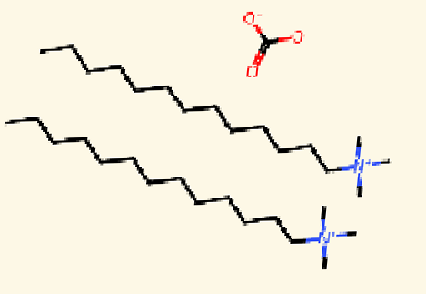 CCCCCCCCCCCCC[N+](C)(C)C.CCCCCCCCCCCCC[N+](C)(C)C.O=C([O-])[O-]